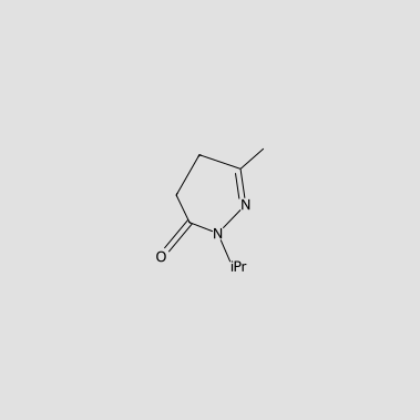 CC1=NN(C(C)C)C(=O)CC1